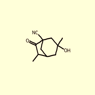 CC1C(=O)C2(C#N)CC1CC(C)(O)C2